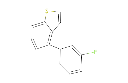 Fc1cccc(-c2cccc3s[c]cc23)c1